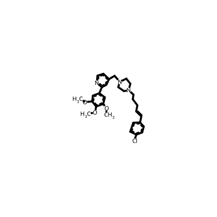 COc1cc(-c2cc(CN3CCN(CCCC=Cc4ccc(Cl)cc4)CC3)ccn2)cc(OC)c1OC